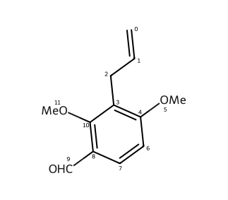 C=CCc1c(OC)ccc(C=O)c1OC